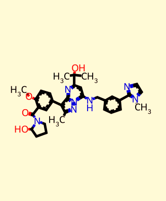 COc1ccc(-c2c(C)nn3c(NCc4cccc(-c5nccn5C)c4)cc(C(C)(C)O)nc23)cc1C(=O)N1CCCC1O